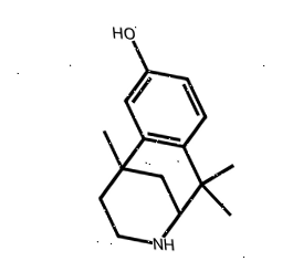 CC12CCNC(C1)C(C)(C)c1ccc(O)cc12